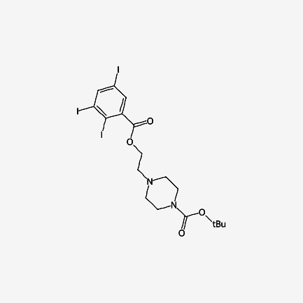 CC(C)(C)OC(=O)N1CCN(CCOC(=O)c2cc(I)cc(I)c2I)CC1